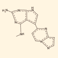 CNc1nc(N)nc2[nH]cc(-c3ccn4nccc4n3)c12